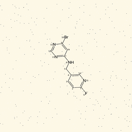 Fc1ccc(CNc2cc(Br)ncn2)cn1